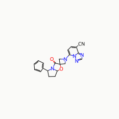 N#Cc1ccc(N2CC3(C2)OC2CCC(c4ccccc4)N2C3=O)n2ncnc12